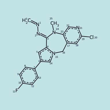 C=N/N=C1/c2cc(-c3ccc(F)cc3)cn2Cc2cc(Cl)ncc2N1C